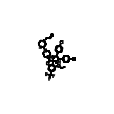 CCOc1cc(C(F)(F)F)ccc1C1(C(=O)N2CCN(C3CN(CC=O)CCS3)CC2)NC(c2ccc(Cl)cc2)C(c2ccc(Cl)cc2)N1